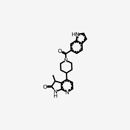 CC1C(=O)Nc2nccc(C3CCN(C(=O)c4ccc5cc[nH]c5c4)CC3)c21